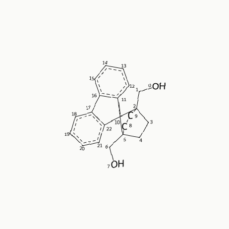 OCC12CCC(CO)(CC1)C21c2ccccc2-c2ccccc21